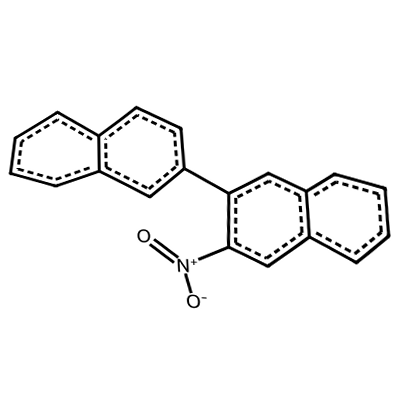 O=[N+]([O-])c1cc2ccccc2cc1-c1ccc2ccccc2c1